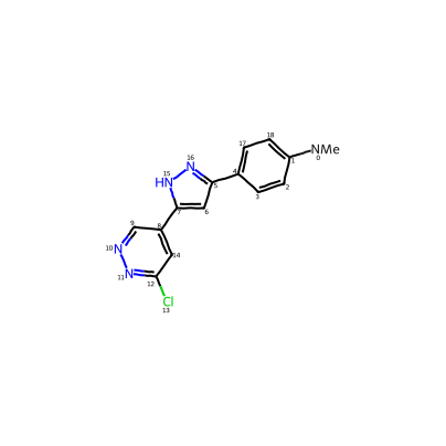 CNc1ccc(-c2cc(-c3cnnc(Cl)c3)[nH]n2)cc1